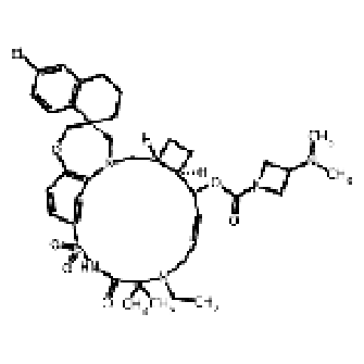 CCN1CC=C[C@H](OC(=O)N2CC(N(C)C)C2)[C@@H]2CC[C@H]2CN2C[C@@]3(CCCc4cc(Cl)ccc43)COc3ccc(cc32)S(=O)(=O)NC(=O)C1(C)C